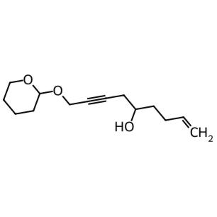 C=CCCC(O)CC#CCOC1CCCCO1